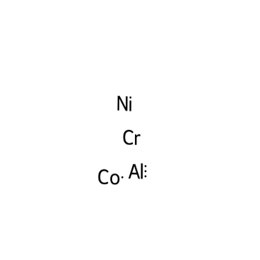 [Al].[Co].[Cr].[Ni]